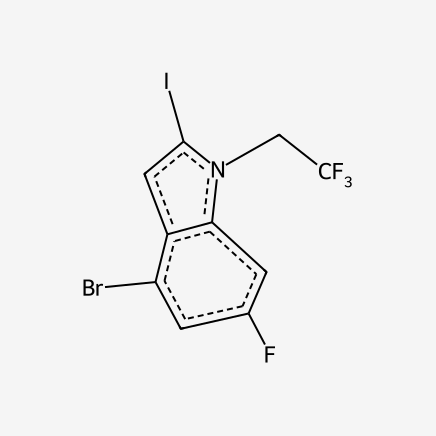 Fc1cc(Br)c2cc(I)n(CC(F)(F)F)c2c1